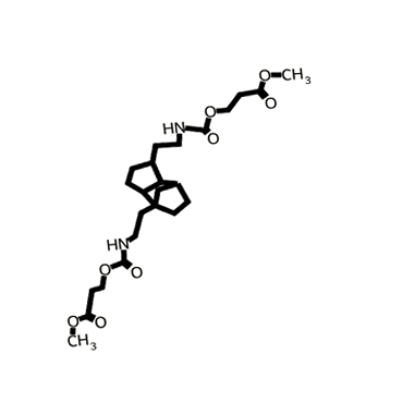 COC(=O)CCOC(=O)NCCC1CCC2C1C1CCC2(CCNC(=O)OCCC(=O)OC)C1